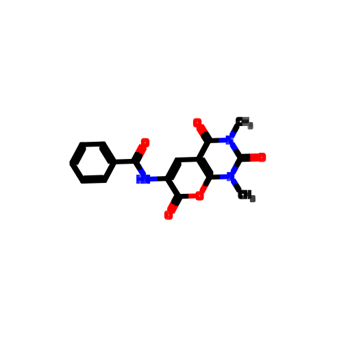 Cn1c(=O)c2cc(NC(=O)c3ccccc3)c(=O)oc2n(C)c1=O